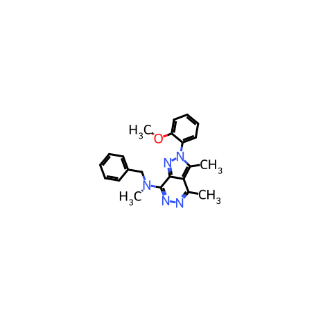 COc1ccccc1-n1nc2c(N(C)Cc3ccccc3)nnc(C)c2c1C